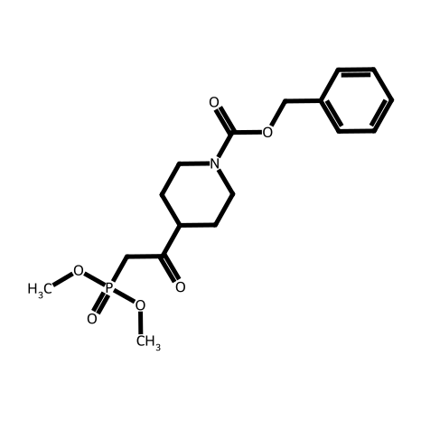 COP(=O)(CC(=O)C1CCN(C(=O)OCc2ccccc2)CC1)OC